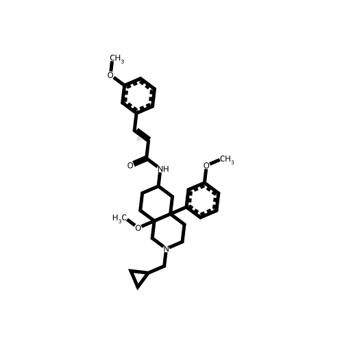 COc1cccc(/C=C/C(=O)NC2CCC3(OC)CN(CC4CC4)CCC3(c3cccc(OC)c3)C2)c1